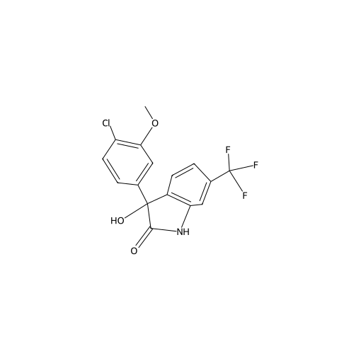 COc1cc(C2(O)C(=O)Nc3cc(C(F)(F)F)ccc32)ccc1Cl